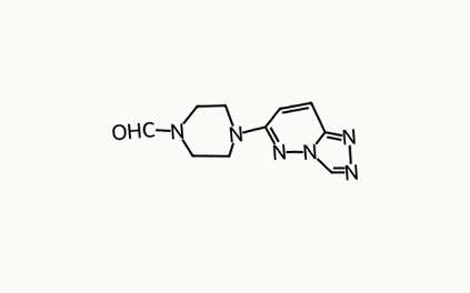 O=CN1CCN(c2ccc3nncn3n2)CC1